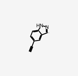 C#Cc1ccc2[nH]n[c]c2c1